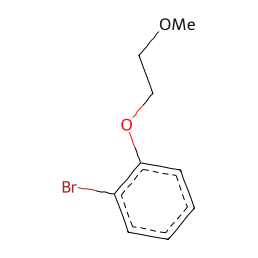 COCCOc1ccccc1Br